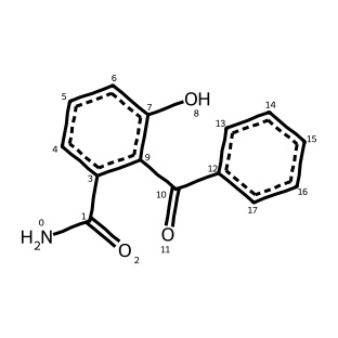 NC(=O)c1cccc(O)c1C(=O)c1ccccc1